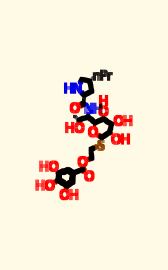 CCC[C@H]1CN[C@H](C(=O)N[C@@H]([C@H]2O[C@H](SCCOC(=O)c3cc(O)c(O)c(O)c3)[C@H](O)[C@@H](O)[C@H]2O)[C@@H](C)O)C1